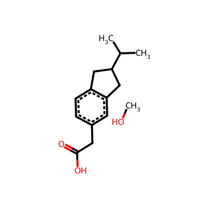 CC(C)C1Cc2ccc(CC(=O)O)cc2C1.CO